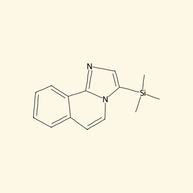 C[Si](C)(C)c1cnc2c3ccccc3ccn12